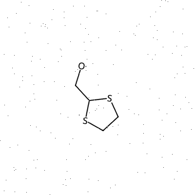 [O]CC1SCCS1